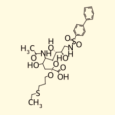 CCSCCCO[C@]1(C(=O)O)CC(O)[C@@H](NC(C)=O)[C@H]([C@H](O)[C@H](O)CNS(=O)(=O)c2ccc(-c3ccccc3)cc2)O1